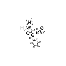 CS(=O)(=O)[O-].C[N+](C)(C)C[C@H](N)CC(=O)OCc1ccccc1